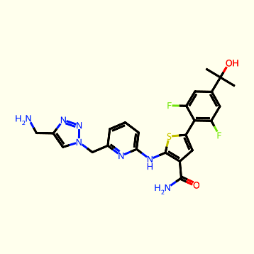 CC(C)(O)c1cc(F)c(-c2cc(C(N)=O)c(Nc3cccc(Cn4cc(CN)nn4)n3)s2)c(F)c1